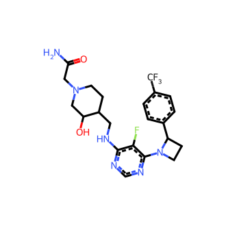 NC(=O)CN1CCC(CNc2ncnc(N3CCC3c3ccc(C(F)(F)F)cc3)c2F)C(O)C1